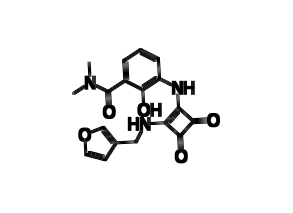 CN(C)C(=O)c1cccc(Nc2c(NCc3ccoc3)c(=O)c2=O)c1O